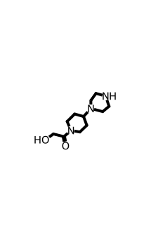 O=C(CO)N1CCC(N2CCNCC2)CC1